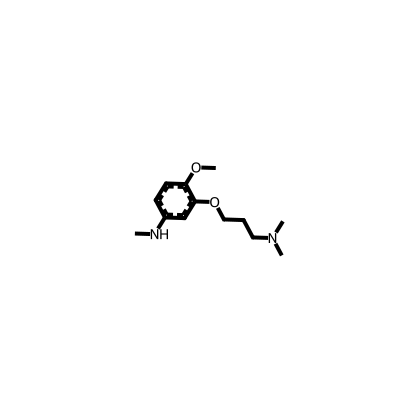 CNc1ccc(OC)c(OCCCN(C)C)c1